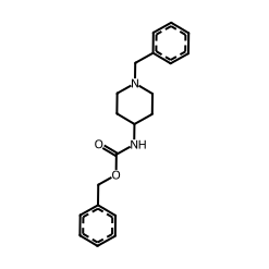 O=C(NC1CCN(Cc2ccccc2)CC1)OCc1ccccc1